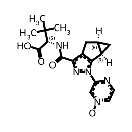 CC(C)(C)[C@H](NC(=O)c1nn(-c2c[n+]([O-])ccn2)c2c1C[C@H]1C[C@@H]21)C(=O)O